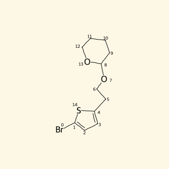 Brc1ccc(CCOC2CCCCO2)s1